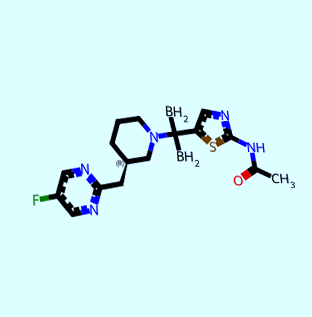 BC(B)(c1cnc(NC(C)=O)s1)N1CCC[C@H](Cc2ncc(F)cn2)C1